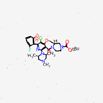 C[C@@H]1CN(C)C[C@H](C)N1c1nc(-c2c(O)cccc2F)c(Cl)c2c1C(=O)N1CCN(C(=O)OC(C)(C)C)C[C@@H]1CO2